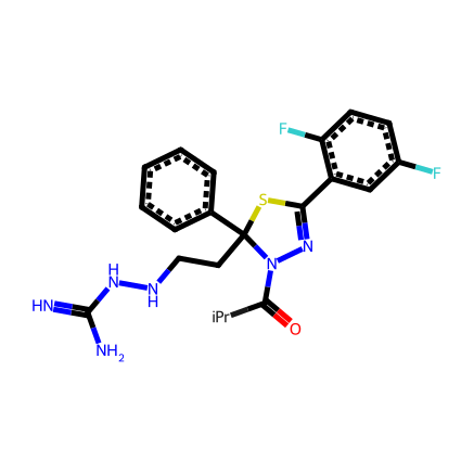 CC(C)C(=O)N1N=C(c2cc(F)ccc2F)SC1(CCNNC(=N)N)c1ccccc1